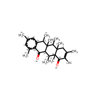 CC(=O)C1=C(C)CC2(C)C(C)C3(C)C(C)c4cc(C)cc(C)c4C(=O)C3C(C)C2(C)C1=O